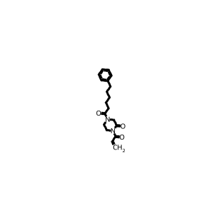 C=CC(=O)N1CCN(C(=O)CCCCCc2ccccc2)CC1=O